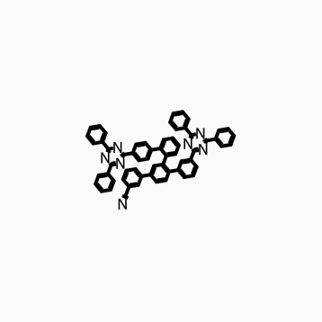 N#Cc1cccc(-c2ccc(-c3cccc(-c4nc(-c5ccccc5)nc(-c5ccccc5)n4)c3)c(-c3ccccc3-c3ccc(-c4nc(-c5ccccc5)nc(-c5ccccc5)n4)cc3)c2)c1